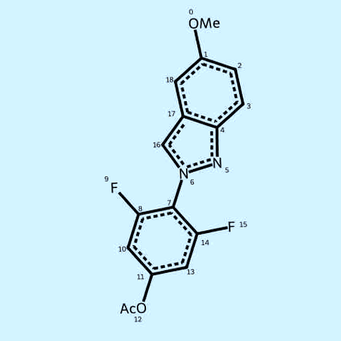 COc1ccc2nn(-c3c(F)cc(OC(C)=O)cc3F)cc2c1